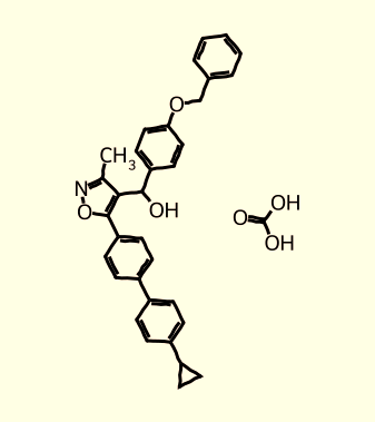 Cc1noc(-c2ccc(-c3ccc(C4CC4)cc3)cc2)c1C(O)c1ccc(OCc2ccccc2)cc1.O=C(O)O